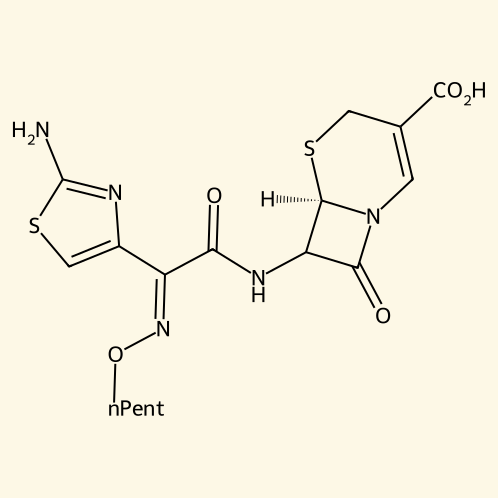 CCCCCON=C(C(=O)NC1C(=O)N2C=C(C(=O)O)CS[C@H]12)c1csc(N)n1